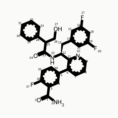 NC(=O)c1cc(-c2cccnc2[C@H](Cc2cc(F)cc(F)c2)NC(=O)C(CO)c2ccccc2)ccc1F